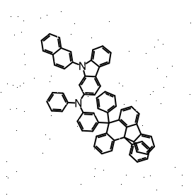 c1ccc(N(c2cccc(C3(c4ccccc4)c4ccccc4C4(c5ccccc5)c5ccccc5-c5cccc3c54)c2)c2ccc3c4ccccc4n(-c4ccc5ccccc5c4)c3c2)cc1